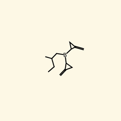 C=C1CC1B(CC(C)CC)C1CC1=C